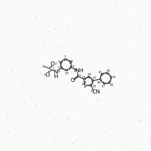 CS(=O)(=O)Nc1cccc(NC(=O)c2cc(-c3ccccc3)c(C#N)s2)c1